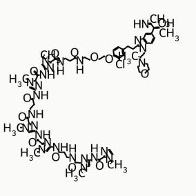 CC(=N)/C(=C(/C)O)c1ccc2c(c1)nc(CCc1ccc(OCCOCCNC(=O)CCNC(=O)c3nc(NC(=O)c4nc(NC(=O)CCNC(=O)c5nc(NC(=O)c6nc(NC(=O)CCNC(=O)c7nc(NC(=O)c8nccn8C)cn7C)cn6C)cn5C)cn4C)cn3C)c(Cl)c1)n2C[C@H](C)N1CCOCC1